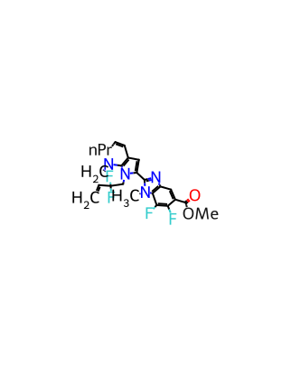 C=CC(F)(F)Cn1c(-c2nc3cc(C(=O)OC)c(F)c(F)c3n2C)cc(/C=C\CCC)c1N=C